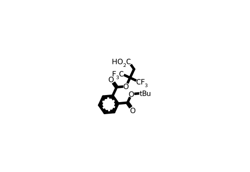 CC(C)(C)OC(=O)c1ccccc1C(=O)OC(CC(=O)O)(C(F)(F)F)C(F)(F)F